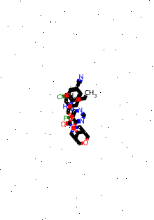 CCCCC(CC)COC(=O)N1CC2COCC(C1)C2Oc1ncnc(Nc2ccc(C#N)cc2Cl)c1F